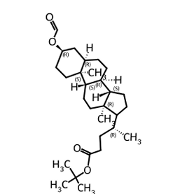 C[C@H](CCC(=O)OC(C)(C)C)C1CC[C@H]2[C@@H]3CC[C@@H]4C[C@H](OC=O)CC[C@]4(C)[C@H]3CC[C@]12C